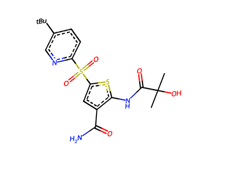 CC(C)(O)C(=O)Nc1sc(S(=O)(=O)c2ccc(C(C)(C)C)cn2)cc1C(N)=O